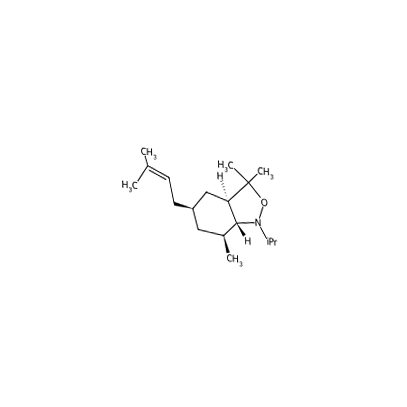 CC(C)=CC[C@H]1C[C@@H]2[C@@H]([C@@H](C)C1)N(C(C)C)OC2(C)C